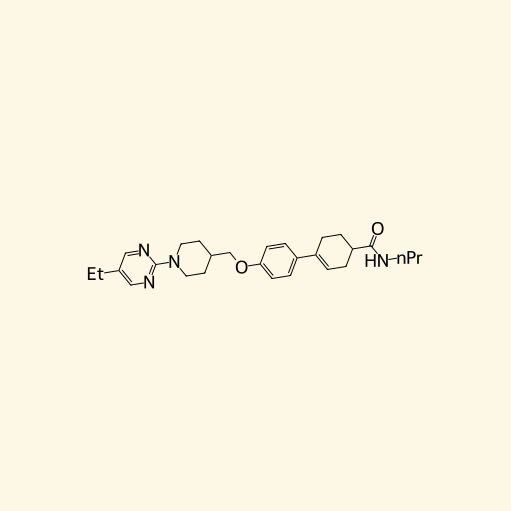 CCCNC(=O)C1CC=C(c2ccc(OCC3CCN(c4ncc(CC)cn4)CC3)cc2)CC1